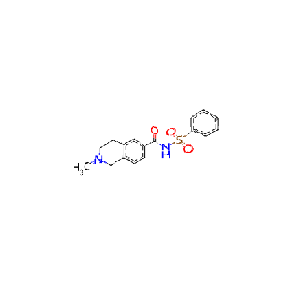 CN1CCc2cc(C(=O)NS(=O)(=O)c3ccccc3)ccc2C1